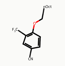 CCCCCCCCCOc1ccc(C#N)cc1C(F)(F)F